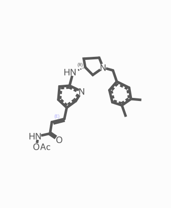 CC(=O)ONC(=O)/C=C/c1ccc(N[C@@H]2CCN(Cc3ccc(C)c(C)c3)C2)nc1